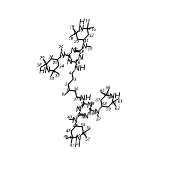 CC(CCCNc1nc(N(C)C2CC(C)(C)NC(C)(C)C2)nc(N(C)C2CC(C)(C)NC(C)(C)C2)n1)CCNc1nc(N(C)C2CC(C)(C)NC(C)(C)C2)nc(N(C)C2CC(C)(C)NC(C)(C)C2)n1